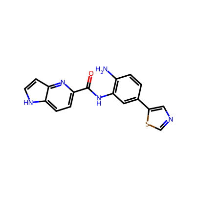 Nc1ccc(-c2cncs2)cc1NC(=O)c1ccc2[nH]ccc2n1